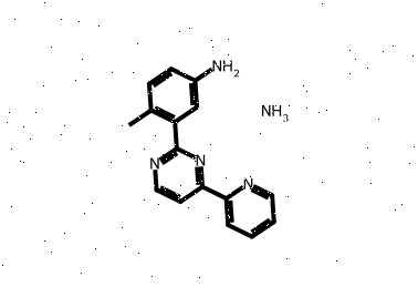 Cc1ccc(N)cc1-c1nccc(-c2ccccn2)n1.N